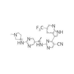 C[C@@H](Nc1ncc(C#N)c(-c2c[nH]c3ncc(C(F)(F)F)cc23)n1)c1cnc(N[C@H]2CCN(C)C2)nc1